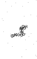 Cc1ccc(OCc2ccc3c(c2C)CCN(C2CCOCC2)C3)c(-c2cccc(-c3c(C)c(C(=O)O)nn3C)n2)c1